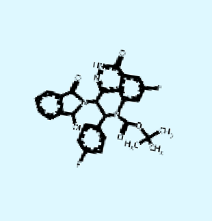 CC(C)(C)OC(=O)N1c2cc(F)cc3c(=O)[nH]nc(c23)C(N2C(=O)c3ccccc3C2O)C1c1ccc(F)cc1